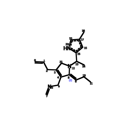 C=CCC1=C(CN=C)/C(=C/CC)N(C(C)c2cc(C)c[nH]2)C1